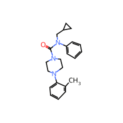 Cc1ccccc1N1CCN(C(=O)N(CC2CC2)c2ccccc2)CC1